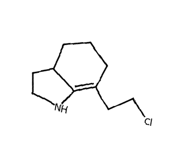 ClCCC1=C2NCCC2CCC1